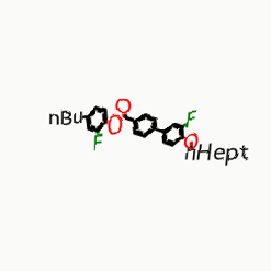 CCCCCCCOc1ccc(-c2ccc(C(=O)Oc3ccc(CCCC)cc3F)cc2)cc1F